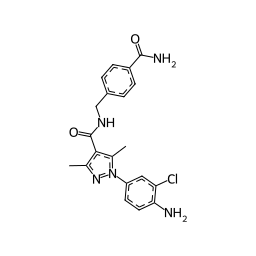 Cc1nn(-c2ccc(N)c(Cl)c2)c(C)c1C(=O)NCc1ccc(C(N)=O)cc1